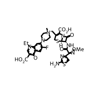 CCn1cc(C(=O)O)c(=O)c2cc(F)c(N3CC[N+](C)(CC4=C(C(=O)O)N5C(=O)[C@H](NC(=O)/C(=N\OC)c6csc(N)n6)[C@H]5SC4)CC3)cc21